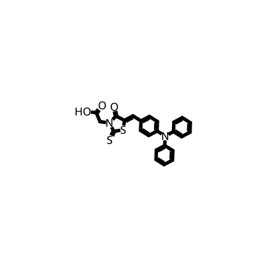 O=C(O)CN1C(=O)/C(=C/c2ccc(N(c3ccccc3)c3ccccc3)cc2)SC1=S